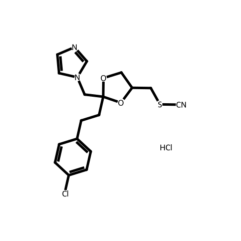 Cl.N#CSCC1COC(CCc2ccc(Cl)cc2)(Cn2ccnc2)O1